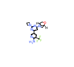 Nc1ncc(-c2cc(N3C[C@@H]4C[C@H]3CO4)nc(N3CCC3)n2)cc1C(F)(F)F